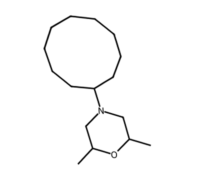 CC1CN(C2CCCCCCCCC2)CC(C)O1